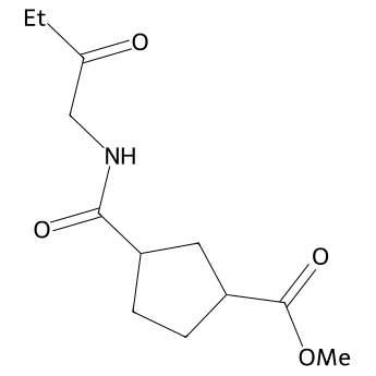 CCC(=O)CNC(=O)C1CCC(C(=O)OC)C1